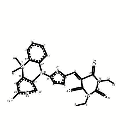 CCN1C(=O)C(=Cc2ccc(N3c4ccccc4[Si](C)(C)c4cc(F)ccc43)s2)C(=O)N(CC)C1=S